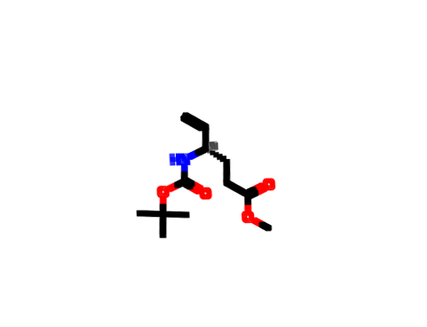 C=C[C@H](CCC(=O)OC)NC(=O)OC(C)(C)C